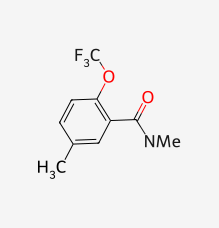 CNC(=O)c1cc(C)ccc1OC(F)(F)F